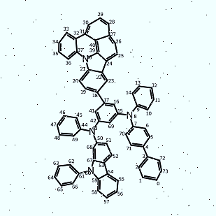 c1ccc(-c2ccc(N(c3ccccc3)c3cc(-c4ccc5c(c4)c4ccc6cccc7c8ccccc8n5c4c67)cc(N(c4ccccc4)c4ccc5c6ccccc6n(-c6ccccc6)c5c4)c3)cc2)cc1